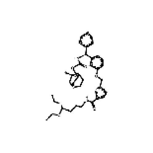 CCOC(CCCNC(=O)c1ccc(COc2cccc([C@@H](NC(=O)O[C@H]3CN4CCC3CC4)c3ccccc3)c2)o1)OCC